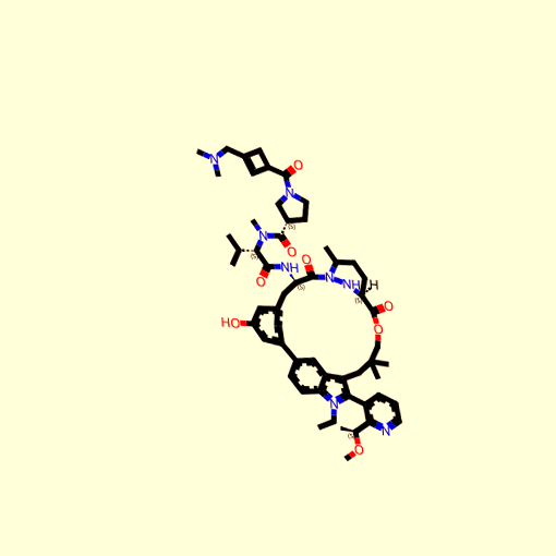 CCn1c(-c2cccnc2[C@H](C)OC)c2c3cc(ccc31)-c1cc(O)cc(c1)C[C@H](NC(=O)[C@H](C(C)C)N(C)C(=O)[C@H]1CCN(C(=O)C3C=C(CN(C)C)C3)C1)C(=O)N1N[C@@H](CCC1C)C(=O)OCC(C)(C)C2